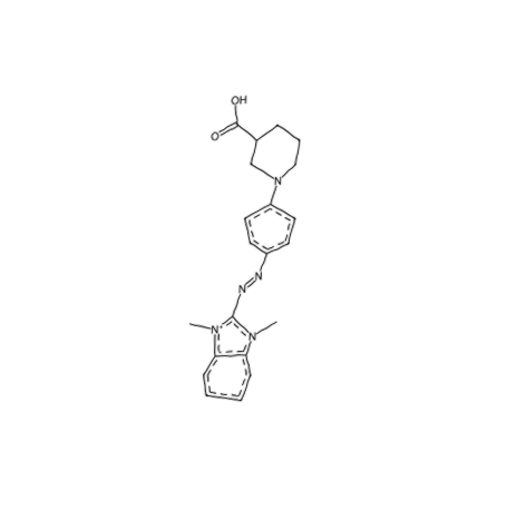 Cn1c(/N=N/c2ccc(N3CCCC(C(=O)O)C3)cc2)[n+](C)c2ccccc21